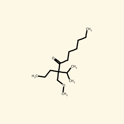 CCCCCCC(=O)C(CCC)(COC)C(C)C